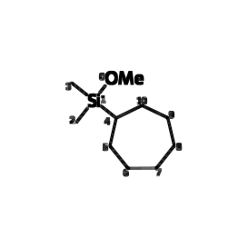 CO[Si](C)(C)C1CCCCCC1